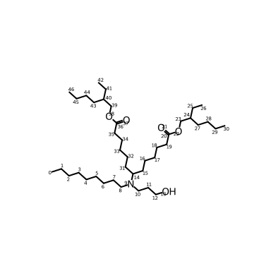 CCCCCCCCCN(CCCO)C(CCCCCC(=O)OCC(CC)CCCC)CCCCCC(=O)OCC(CC)CCCC